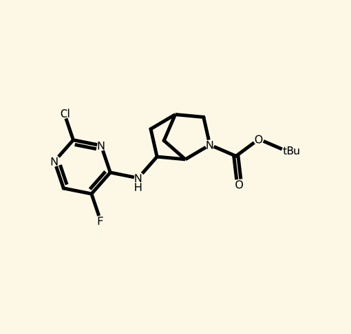 CC(C)(C)OC(=O)N1CC2CC(Nc3nc(Cl)ncc3F)C1C2